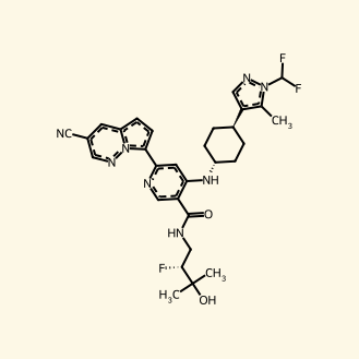 Cc1c([C@H]2CC[C@H](Nc3cc(-c4ccc5cc(C#N)cnn45)ncc3C(=O)NC[C@@H](F)C(C)(C)O)CC2)cnn1C(F)F